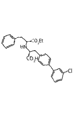 CCOC(=O)[C@H](Cc1ccccc1)N[C@@H](Cc1ccc(-c2cccc(Cl)c2)cc1)C(=O)O